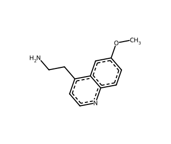 COc1ccc2nccc(CCN)c2c1